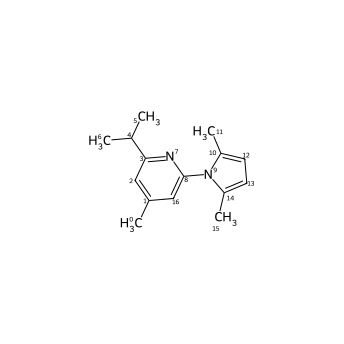 Cc1cc(C(C)C)nc(-n2c(C)ccc2C)c1